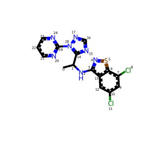 CC(Nc1nsc2c(Cl)cc(Cl)cc12)c1ncnn1-c1ncccn1